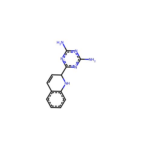 Nc1nc(N)nc(C2C=Cc3ccccc3N2)n1